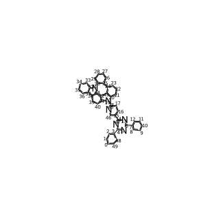 c1ccc(-c2nc(-c3ccccc3)nc(-c3ccc(-n4c5cccc6c7ccccc7n7c8ccccc8c8ccc4c(c65)c87)nc3)n2)cc1